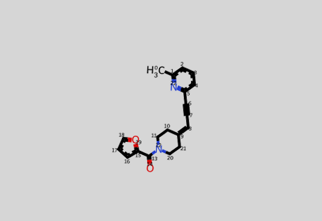 Cc1cccc(C#CC=C2CCN(C(=O)c3ccco3)CC2)n1